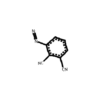 [N]=Nc1cccc(C#N)c1C#N